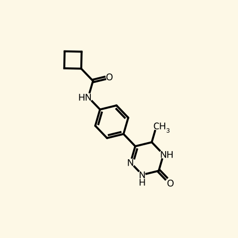 CC1NC(=O)NN=C1c1ccc(NC(=O)C2CCC2)cc1